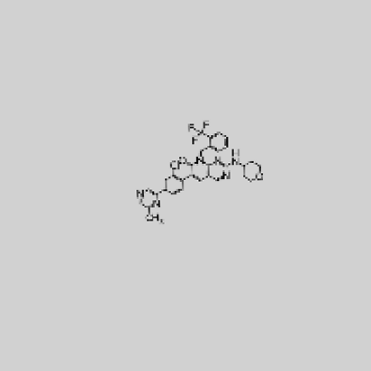 Cc1cncc(-c2ccc(-c3cc4cnc(NC5CCOCC5)nc4n(Cc4ccccc4C(F)(F)F)c3=O)c(Cl)c2)n1